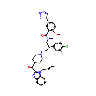 CC=CCn1c(C(=O)C2CCN(CCC(CN(C)C(=O)c3cc(C4C=NN=N4)ccc3OC)c3ccc(Cl)c(Cl)c3)CC2)nc2ccccc21